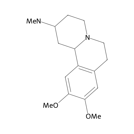 CNC1CCN2CCc3cc(OC)c(OC)cc3C2C1